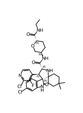 CCNC(=O)[C@@H]1CC[C@@H](NC(=O)[C@@H]2NC3(CCC(C)(C)CC3)[C@@]3(C(=O)Nc4cc(Cl)ccc43)[C@H]2c2ccnc(Cl)c2F)CO1